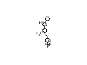 Cc1cc(-c2c[nH]c(C3CCCCC3)n2)ccc1CCc1ccc(C(F)(F)F)nc1